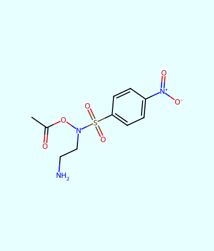 CC(=O)ON(CCN)S(=O)(=O)c1ccc([N+](=O)[O-])cc1